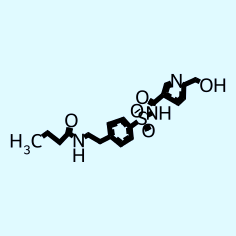 CCCC(=O)NCCc1ccc(S(=O)(=O)NC(=O)c2ccc(CO)nc2)cc1